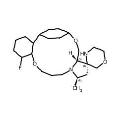 C[C@@H]1C[C@]2(COCCN2)[C@H]2COC3CCC(CC3)C3CCCC(F)C3OCCCN12